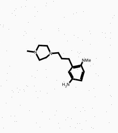 CNc1ccc(N)cc1CCCN1CCN(C)CC1